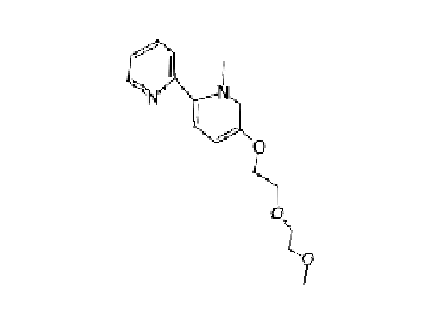 COCCOCCOC1=CC=C(c2ccccn2)N(C)C1